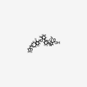 CCOc1c(C(=O)O)cnn1-c1cccc(-c2cccc(C)c2OCc2ccc3c(c2C)CCN(C[C@@H]2CCCO2)CC3)n1